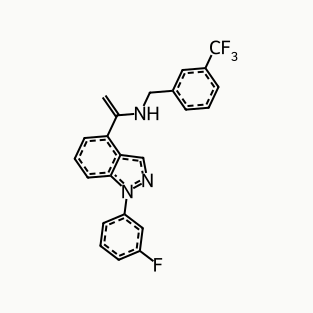 C=C(NCc1cccc(C(F)(F)F)c1)c1cccc2c1cnn2-c1cccc(F)c1